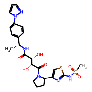 C[C@@H](NC(=O)[C@H](O)[C@@H](O)C(=O)N1CCC[C@@H]1c1csc(NS(C)(=O)=O)n1)c1ccc(-n2cccn2)cc1